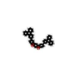 c1ccc2c(c1)c1ccccc1c1cc(-c3ccc4oc5cc6oc7ccc(-c8ccc9c%10ccccc%10c%10ccccc%10c9c8)cc7c6cc5c4c3)ccc21